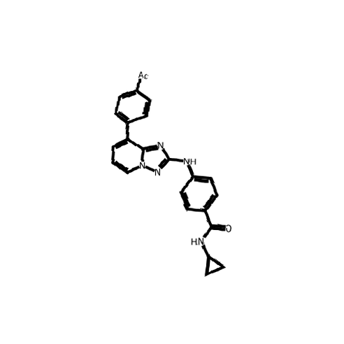 CC(=O)c1ccc(-c2cccn3nc(Nc4ccc(C(=O)NC5CC5)cc4)nc23)cc1